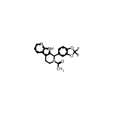 CC(=O)N1CCc2c([nH]c3ncccc23)C1c1ccc2c(c1)OC(F)(F)O2